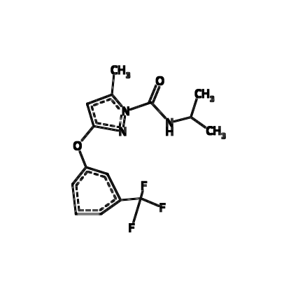 Cc1cc(Oc2cccc(C(F)(F)F)c2)nn1C(=O)NC(C)C